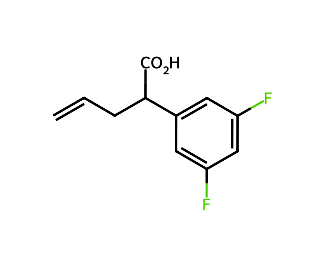 C=CCC(C(=O)O)c1cc(F)cc(F)c1